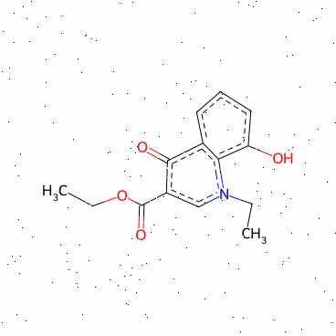 CCOC(=O)c1cn(CC)c2c(O)cccc2c1=O